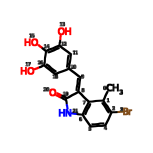 Cc1c(Br)ccc2c1C(=Cc1cc(O)c(O)c(O)c1)C(=O)N2